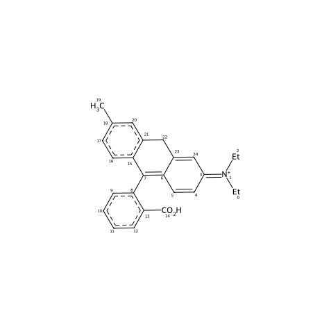 CC[N+](CC)=C1C=CC2=C(c3ccccc3C(=O)O)c3ccc(C)cc3CC2=C1